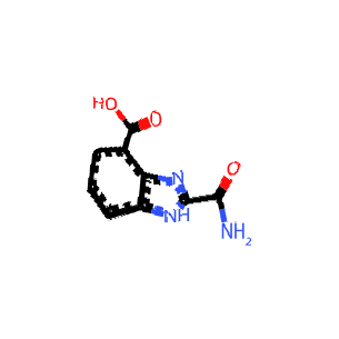 NC(=O)c1nc2c(C(=O)O)cccc2[nH]1